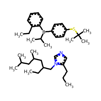 CCCc1cncn1CC(CC)CC(C)CC(C)C.CCc1ccccc1B(c1ccc(SC(C)(C)C)cc1)C(C)C